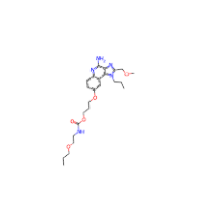 CCCOCCNC(=O)OCCCOc1ccc2nc(N)c3nc(COC)n(CCC)c3c2c1